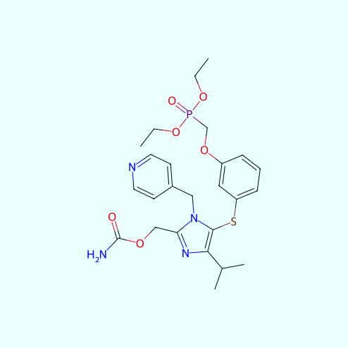 CCOP(=O)(COc1cccc(Sc2c(C(C)C)nc(COC(N)=O)n2Cc2ccncc2)c1)OCC